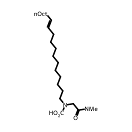 CCCCCCCC/C=C/CCCCCCCCCCN(CC(=O)NC)C(=O)O